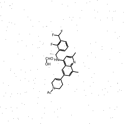 CC(=O)N1CC=C(c2cc(C)c3nc(C)cc(N[C@H](C)c4cccc(C(F)F)c4F)c3c2)CC1.O=CO